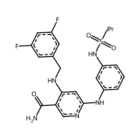 CC(C)S(=O)(=O)Nc1cccc(Nc2cc(NCc3cc(F)cc(F)c3)c(C(N)=O)cn2)c1